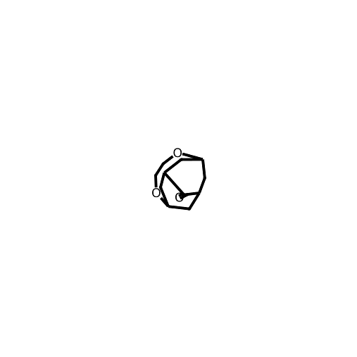 O=C1C2CC3CC1CC(C2)OCCO3